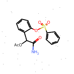 CC(=O)OC(C(N)=O)c1ccccc1OS(=O)(=O)c1ccccc1